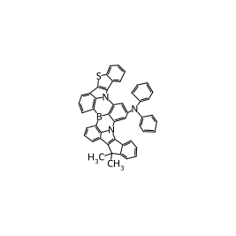 CC1(C)c2ccccc2-c2c1c1cccc3c1n2-c1cc(N(c2ccccc2)c2ccccc2)cc2c1B3c1cccc3c4sc5ccccc5c4n-2c13